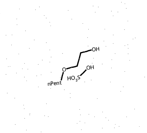 CCCCCOCCO.O=S(=O)(O)O